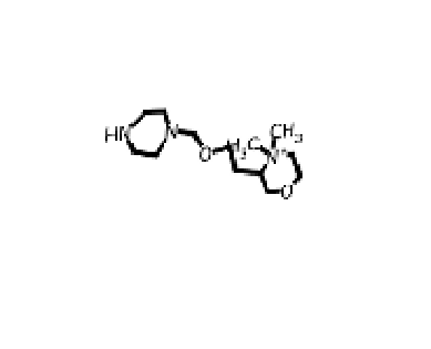 C[N+]1(C)CCOCC1CCOCN1CCNCC1